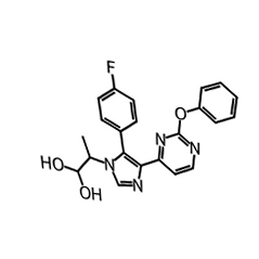 CC(C(O)O)n1cnc(-c2ccnc(Oc3ccccc3)n2)c1-c1ccc(F)cc1